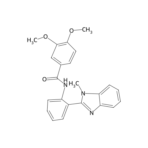 COc1ccc(C(=O)Nc2ccccc2-c2nc3ccccc3n2C)cc1OC